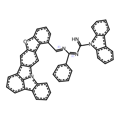 N=C(/N=C(\N=C\c1cccc2oc3cc4c5cccc6c7ccccc7n(c4cc3c12)c65)c1ccccc1)n1c2ccccc2c2ccccc21